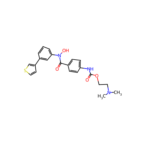 CN(C)CCOC(=O)Nc1ccc(C(=O)N(O)c2cccc(-c3ccsc3)c2)cc1